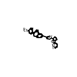 CCc1ccc(-c2ccc3cc(-c4ccc(-c5cccc6c5oc5ncccc56)nc4)ccc3c2)cc1